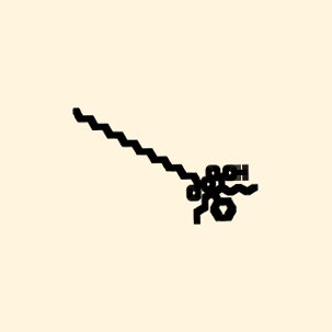 CCCCCCCCCCCCCCCCCC(=O)OC(CCCC)(c1ccccc1)C(CCCC)C(=O)O